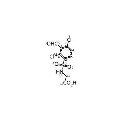 O=[C]c1c(Cl)ccc(S(=O)(=O)NCC(=O)O)c1Cl